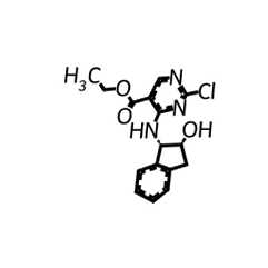 CCOC(=O)c1cnc(Cl)nc1N[C@H]1c2ccccc2C[C@@H]1O